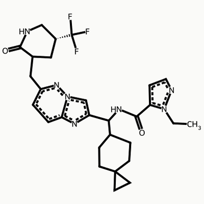 CCn1nccc1C(=O)NC(c1cn2nc(CC3C[C@@H](C(F)(F)F)CNC3=O)ccc2n1)C1CCC2(CC1)CC2